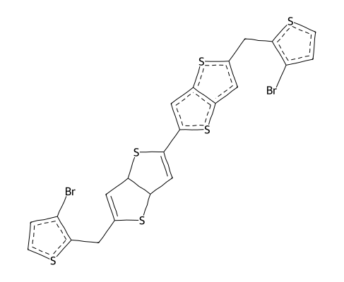 Brc1ccsc1CC1=CC2SC(c3cc4sc(Cc5sccc5Br)cc4s3)=CC2S1